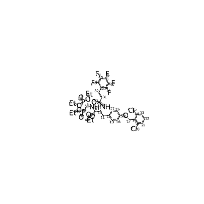 CCOP(=O)(OCC)C(NC(=O)[C@H](Cc1ccc(OCc2c(Cl)cccc2Cl)cc1)NC(=O)C=Cc1c(F)c(F)c(F)c(F)c1F)P(=O)(OCC)OCC